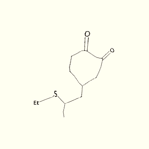 CCSC(C)CC1CCC(=O)C(=O)C1